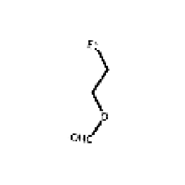 CCCCO[C]=O